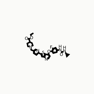 CCOC(=O)C1CCN(Cc2ccc(-c3cc4nccc(Oc5ccc(NC(=O)NC6CC6)cc5F)c4s3)nc2)CC1